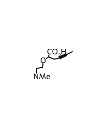 CC#CCC(OCCNC)C(=O)O